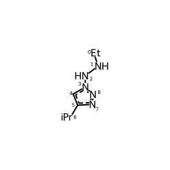 CCNNn1cc(C(C)C)nn1